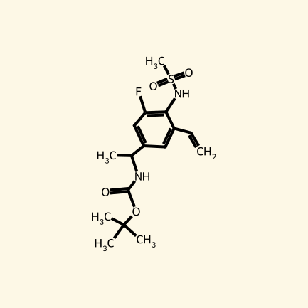 C=Cc1cc(C(C)NC(=O)OC(C)(C)C)cc(F)c1NS(C)(=O)=O